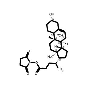 CC(CCC(=O)ON1C(=O)CCC1=O)[C@H]1CC[C@H]2[C@@H]3CC=C4C[C@@H](O)CC[C@]4(C)[C@H]3CC[C@]12C